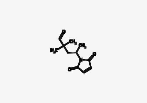 CC(CC(C)(C)C=O)N1C(=O)C=CC1=O